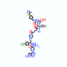 Cc1ncsc1-c1ccc(CNC(=O)[C@@H]2C[C@@H](O)CN2C(=O)C(NC(=O)CCCC(=O)N2CCN(CCC(NC(=O)C3(N)CCN(c4ncnc5[nH]ccc45)CC3)c3ccc(Cl)cc3)CC2)C(C)(C)C)cc1